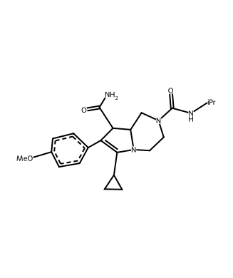 COc1ccc(C2=C(C3CC3)N3CCN(C(=O)NC(C)C)CC3C2C(N)=O)cc1